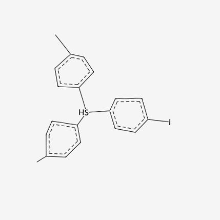 Cc1ccc([SH](c2ccc(C)cc2)c2ccc(I)cc2)cc1